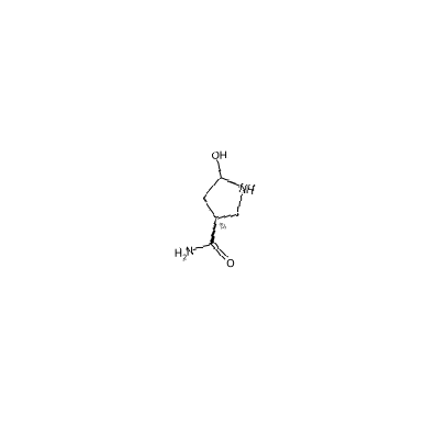 NC(=O)[C@@H]1CNC(O)C1